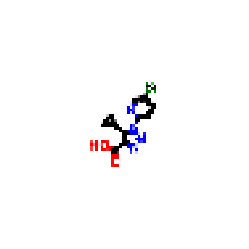 O=C(O)c1nnn(-c2ccc(Br)cn2)c1C1CC1